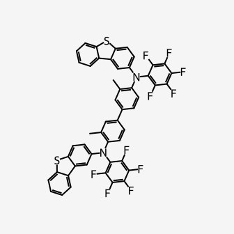 Cc1cc(-c2ccc(N(c3ccc4sc5ccccc5c4c3)c3c(F)c(F)c(F)c(F)c3F)c(C)c2)ccc1N(c1ccc2sc3ccccc3c2c1)c1c(F)c(F)c(F)c(F)c1F